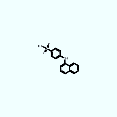 NS(=O)(=O)c1ccc(Nc2cccc3ccccc23)cc1